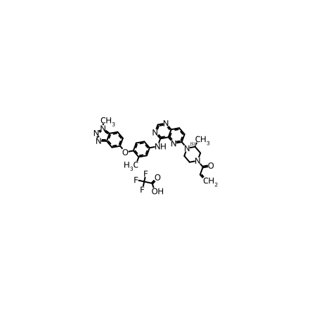 C=CC(=O)N1CCN(c2ccc3ncnc(Nc4ccc(Oc5ccc6c(c5)nnn6C)c(C)c4)c3n2)[C@@H](C)C1.O=C(O)C(F)(F)F